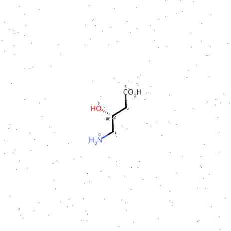 NC[C@H](O)CC(=O)O